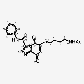 CC(=O)NCCCCSC1=CC(=O)c2[nH]nc(C(=O)Nc3ccccc3)c2C1=O